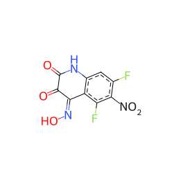 O=C1Nc2cc(F)c([N+](=O)[O-])c(F)c2/C(=N/O)C1=O